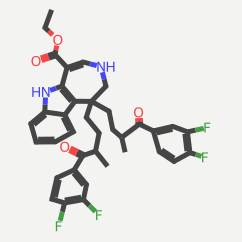 CCOC(=O)C1=CNCC(CCC(C)C(=O)c2ccc(F)c(F)c2)(CCC(C)C(=O)c2ccc(F)c(F)c2)c2c1[nH]c1ccccc21